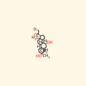 C[C@@]1(O)CC[C@@]2(C)[C@@H](C[C@@H](O)[C@@H]3[C@@H]2CC[C@]2(C)[C@@H](C(=O)CBr)CC[C@@H]32)C1